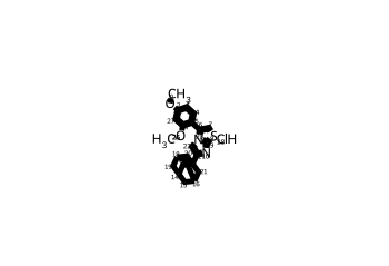 COc1ccc(-c2csc3nc(C45CC6CC(CC(C6)C4)C5)cn23)c(OC)c1.Cl